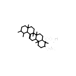 CC(=O)OC1CCC2(C)C(CCC3(C)C2CC=C2C4C(C)C(C)CCC4(C)CCC23C)C1(C)C(=O)O